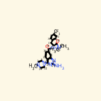 CN1CCN(c2nc(N)nc3cc(C(=O)NC(Cc4ccc(C(F)(F)F)cc4)C(=O)N(C)C)ccc23)CC1